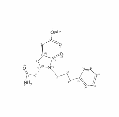 COC(=O)C[C@@H]1C[C@@H](CC(N)=O)N(CCCc2ccccc2)C1=O